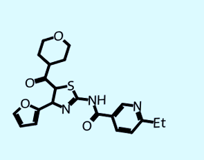 CCc1ccc(C(=O)NC2=NC(c3ccco3)C(C(=O)C3CCOCC3)S2)cn1